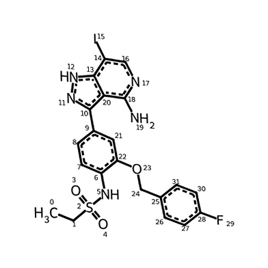 CCS(=O)(=O)Nc1ccc(-c2n[nH]c3c(I)cnc(N)c23)cc1OCc1ccc(F)cc1